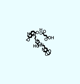 COc1cnc2ccc(=O)n(CCN3C[C@H](CNCc4cc5c(cn4)OCCO5)[C@H](O)C3)c2c1.O=C(O)C=CC(=O)O